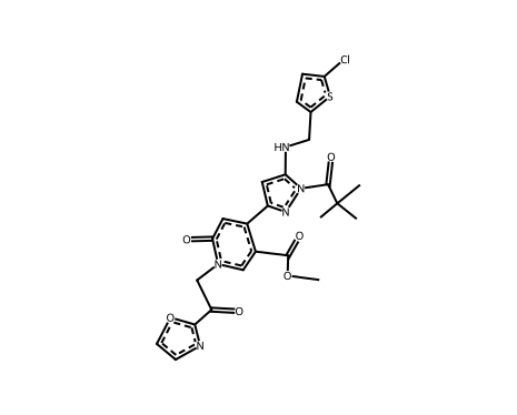 COC(=O)c1cn(CC(=O)c2ncco2)c(=O)cc1-c1cc(NCc2ccc(Cl)s2)n(C(=O)C(C)(C)C)n1